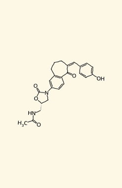 CC(=O)NC[C@H]1CN(c2ccc3c(c2)CCCC(=Cc2ccc(O)cc2)C3=O)C(=O)O1